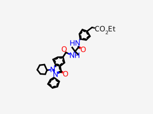 CCOC(=O)Cc1ccc(NC(=O)C(C)(C)NC(=O)c2ccc3c(c2)c(=O)n(-c2ccccc2)n3C2CCCCC2)cc1